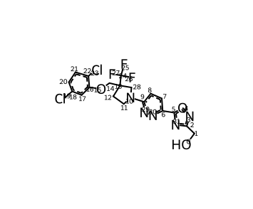 OCc1noc(-c2ccc(N3CCC(COc4cc(Cl)ccc4Cl)(C(F)(F)F)C3)nn2)n1